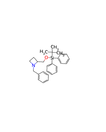 CC(C)(C)[Si](OCC1CCN1Cc1ccccc1)(c1ccccc1)c1ccccc1